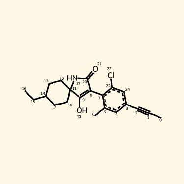 CC#Cc1cc(C)c(C2=C(O)C3(CCC(CC)CC3)NC2=O)c(Cl)c1